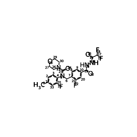 Cc1ccc(N(Cc2ccc(C(=O)NNC(=O)C(F)F)cc2F)C(=O)N2CCOCC2)c(F)c1